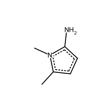 Cc1ccc(N)n1C